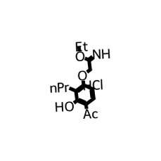 CCCc1c(OCC(=N)OCC)ccc(C(C)=O)c1O.Cl